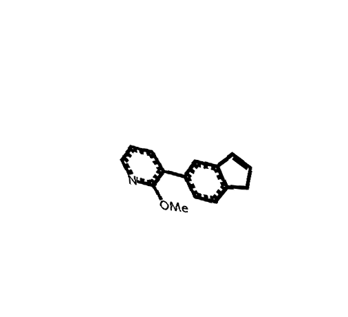 COc1ncccc1-c1ccc2c(c1)C=CC2